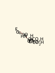 O=CO[C@H](CCCCNC(=O)c1ccc(-c2ccc(OCCF)cc2)cc1)OC(=O)N[C@@H](CCC(=O)O)C(=O)O